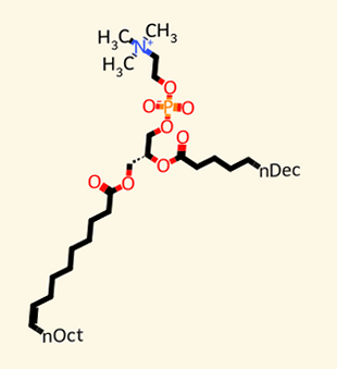 CCCCCCCC/C=C\CCCCCCCC(=O)OC[C@H](COP(=O)([O-])OCC[N+](C)(C)C)OC(=O)CCCCCCCCCCCCCC